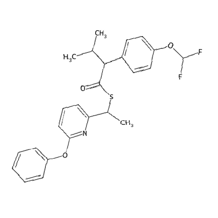 CC(SC(=O)C(c1ccc(OC(F)F)cc1)C(C)C)c1cccc(Oc2ccccc2)n1